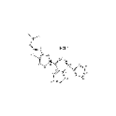 CN(C)Cc1cc2c(o1)CCN(C(=O)c1ccccc1C(=O)c1ccccc1)C2.Cl